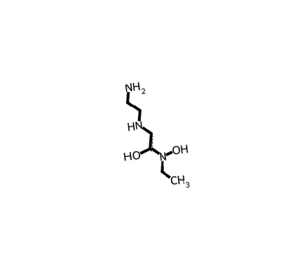 CCN(O)C(O)CNCCN